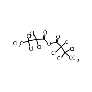 O=C(OC(=O)C(Cl)(Cl)C(Cl)(Cl)C(Cl)(Cl)Cl)C(Cl)(Cl)C(Cl)(Cl)C(Cl)(Cl)Cl